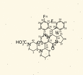 O=C(O)N1CCC(N2CCCCC2c2c3n(ncc2=O)[C@@H]([C@H](c2ccccc2)c2cccc(F)c2F)[C@H]2CCCN2C3=O)CC1